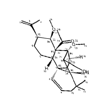 C=C(C)[C@@H]1CC[C@H]2[C@]34C=CCC(C)(C)[C@H]3[C@H](O)[C@](OC)(OC4)[C@@]2(C(C)=O)[C@@H]1OC